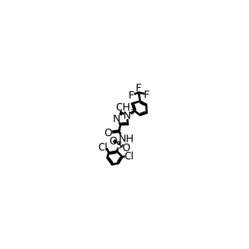 Cc1nc(C(=O)NS(=O)(=O)c2c(Cl)cccc2Cl)cn1-c1cccc(C(F)(F)F)c1